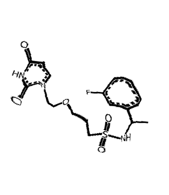 CC(NS(=O)(=O)CCCOCn1ccc(=O)[nH]c1=O)c1cccc(F)c1